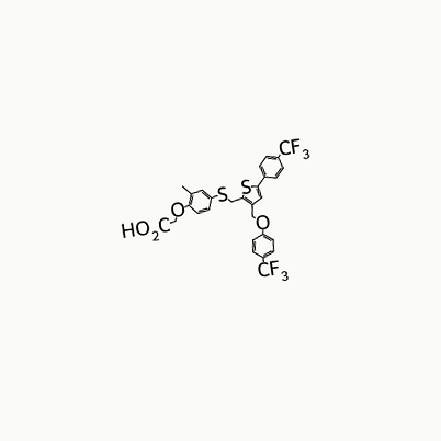 Cc1cc(SCc2sc(-c3ccc(C(F)(F)F)cc3)cc2COc2ccc(C(F)(F)F)cc2)ccc1OCC(=O)O